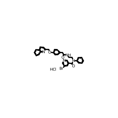 Cl.O=C(Cc1ccc(OCc2ccc3ccccc3n2)cc1)NCCN(C(=O)c1cncc(Br)c1)c1ccccc1